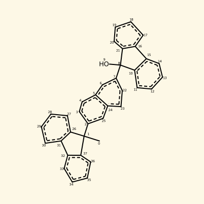 CC1(c2ccc3cc(C4(O)c5ccccc5-c5ccccc54)ccc3c2)c2ccccc2-c2ccccc21